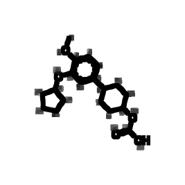 COc1ccc(C2CCC(OC(=O)O)CC2)cc1OC1CCCC1